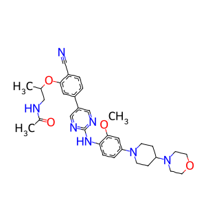 COc1cc(N2CCC(N3CCOCC3)CC2)ccc1Nc1ncc(-c2ccc(C#N)c(OC(C)CNC(C)=O)c2)cn1